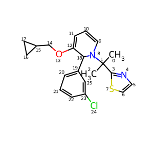 CC(C)(c1nccs1)N1C=CC=C(OCC2CC2)C1c1cccc(Cl)c1